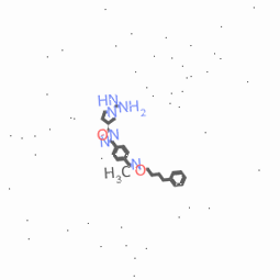 C/C(=N\OCCCCc1ccccc1)c1ccc(-c2noc([C@@H]3CCN(C(=N)N)C3)n2)cc1